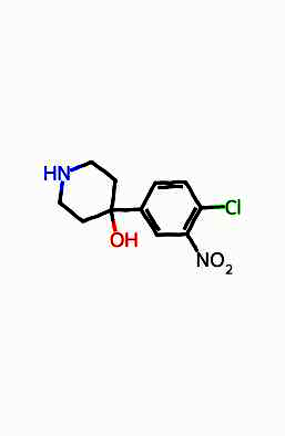 O=[N+]([O-])c1cc(C2(O)CCNCC2)ccc1Cl